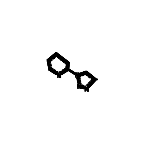 [c]1cn(-c2ccccn2)nn1